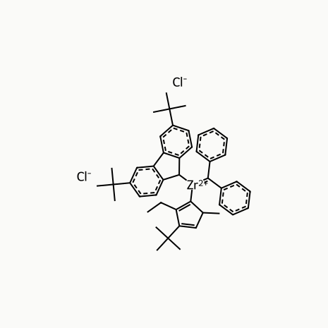 CCC1=[C]([Zr+2](=[C](c2ccccc2)c2ccccc2)[CH]2c3ccc(C(C)(C)C)cc3-c3cc(C(C)(C)C)ccc32)C(C)C=C1C(C)(C)C.[Cl-].[Cl-]